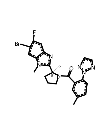 Cc1ccc(-n2nccn2)c(C(=O)N2CCC[C@@]2(C)c2nc3cc(F)c(Br)cc3n2C)c1